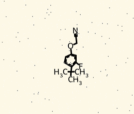 CC(C)(C)c1ccc(OCC#N)cc1F